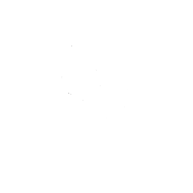 COC(=O)c1ncc(Cl)cc1C1CC1